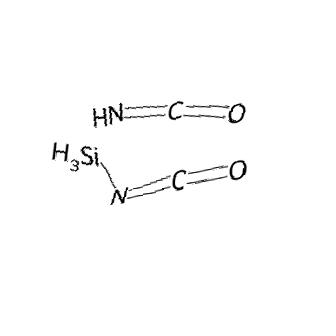 N=C=O.O=C=N[SiH3]